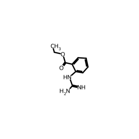 CCOC(=O)c1ccccc1NC(=N)N